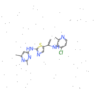 C=C(Nc1c(Cl)ccnc1C)c1cnc(Nc2cc(C)nc(C)n2)s1